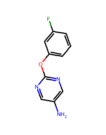 Nc1cnc(Oc2cccc(F)c2)nc1